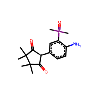 CC1(C)C(=O)B(c2ccc(N)c(P(C)(C)=O)c2)C(=O)C1(C)C